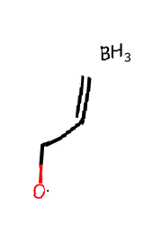 B.C=CC[O]